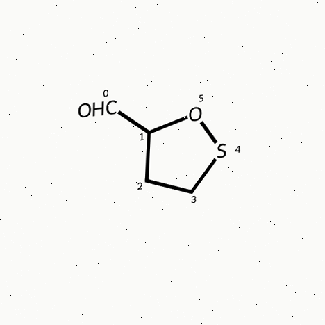 O=CC1CCSO1